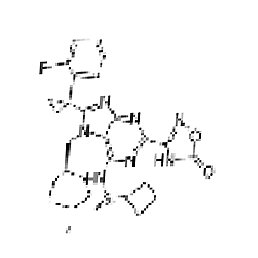 C[C@@H](Nc1nc(-c2noc(=O)[nH]2)nc2nc(C3(c4ccccc4F)CC3)n(C[C@H]3CC[C@H](C)CC3)c12)C1CCC1